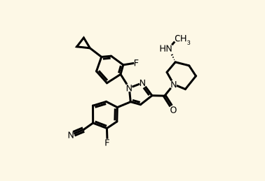 CN[C@@H]1CCCN(C(=O)c2cc(-c3ccc(C#N)c(F)c3)n(-c3ccc(C4CC4)cc3F)n2)C1